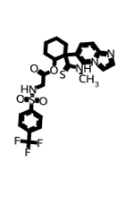 CNC(=S)C1(c2ccc3nccn3c2)CCCCC1OC(=O)CNS(=O)(=O)c1ccc(C(F)(F)F)cc1